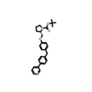 CC(C)(C)OC(=O)N1CCC[C@@H]1COc1ccc(Cc2ccc(-c3cccnc3)cc2)cc1